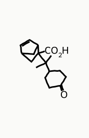 CC(C)(C1CCC(=O)CC1)C1(C(=O)O)CC2C=CC1C2